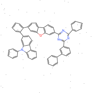 c1ccc(-c2cccc(-c3nc(-c4ccccc4)nc(-c4ccc5c(c4)oc4cc(-c6ccccc6-c6ccc7c8ccccc8n(-c8ccccc8)c7c6)ccc45)n3)c2)cc1